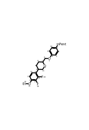 CCCCCc1ccc(OCC2CCC(c3ccc(OCC)c(F)c3F)CO2)cc1